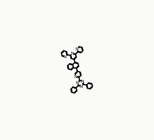 c1ccc(-c2nc(-c3ccccc3)nc(-c3ccc(-c4ccc(-c5cc(-c6ccccn6)nc(-c6ccccn6)c5)c5ccccc45)cn3)n2)cc1